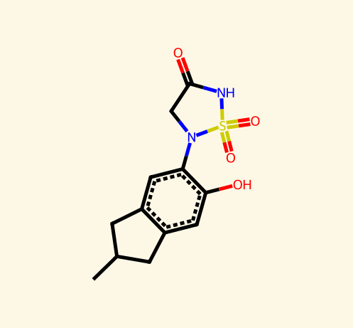 CC1Cc2cc(O)c(N3CC(=O)NS3(=O)=O)cc2C1